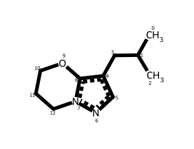 CC(C)Cc1cnn2c1OCCC2